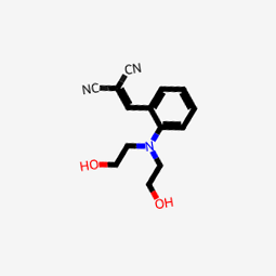 N#CC(C#N)=Cc1ccccc1N(CCO)CCO